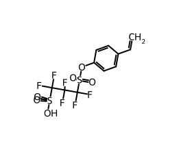 C=Cc1ccc(OS(=O)(=O)C(F)(F)C(F)(F)C(F)(F)S(=O)(=O)O)cc1